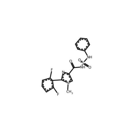 Cn1cc(C(=O)NS(=O)(=O)Nc2ccccc2)nc1-c1c(F)cccc1F